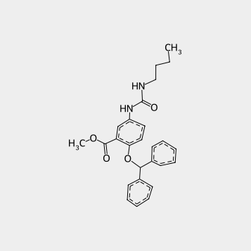 CCCCNC(=O)Nc1ccc(OC(c2ccccc2)c2ccccc2)c(C(=O)OC)c1